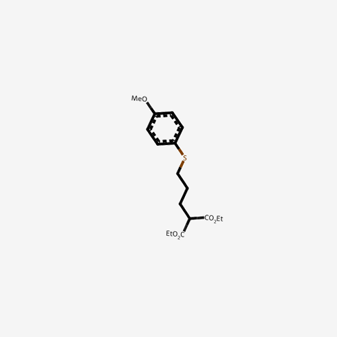 CCOC(=O)C(CCCSc1ccc(OC)cc1)C(=O)OCC